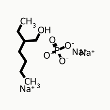 CCCCC(CC)CO.O=P([O-])([O-])[O-].[Na+].[Na+].[Na+]